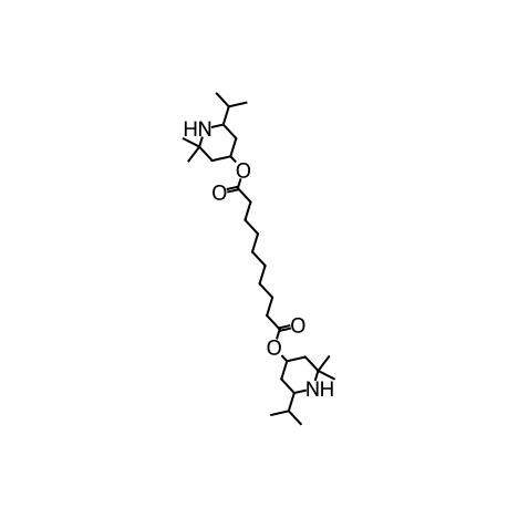 CC(C)C1CC(OC(=O)CCCCCCCCC(=O)OC2CC(C(C)C)NC(C)(C)C2)CC(C)(C)N1